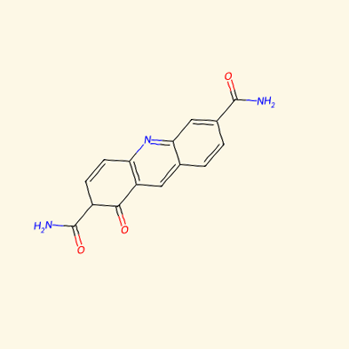 NC(=O)c1ccc2cc3c(nc2c1)C=CC(C(N)=O)C3=O